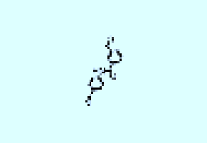 N#Cc1ccc(NC(=O)c2cccc(C=O)c2)cc1